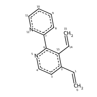 C=Cc1ccnc(-c2ccccn2)c1C=C